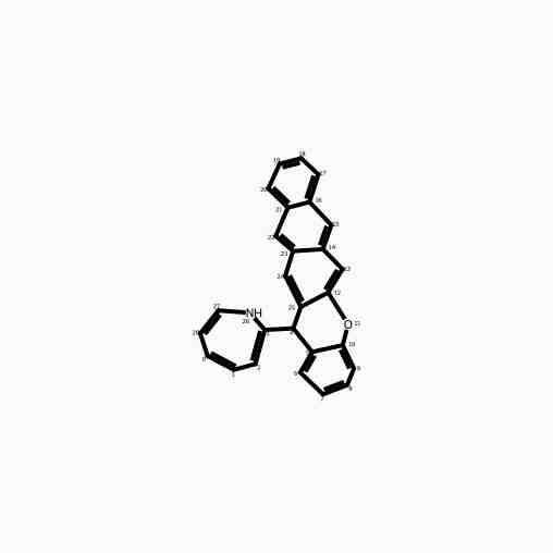 C1=CC=C(C2c3ccccc3Oc3cc4cc5ccccc5cc4cc32)NC=C1